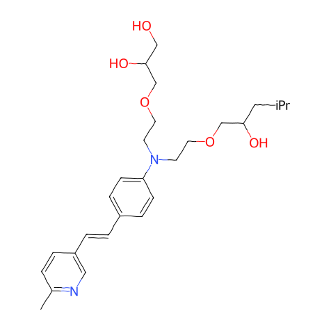 Cc1ccc(/C=C/c2ccc(N(CCOCC(O)CO)CCOCC(O)CC(C)C)cc2)cn1